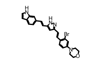 Brc1cc(N2CCOCC2)ccc1C=Cc1cc(C=Cc2ccc3cc[nH]c3c2)[nH]n1